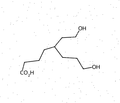 O=C(O)CCCC(CCO)CCCO